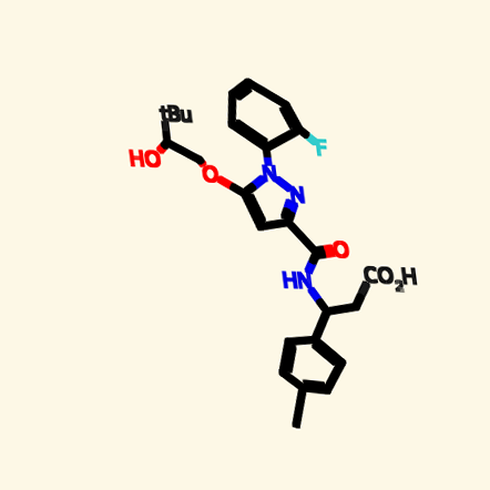 Cc1ccc(C(CC(=O)O)NC(=O)c2cc(OCC(O)C(C)(C)C)n(-c3ccccc3F)n2)cc1